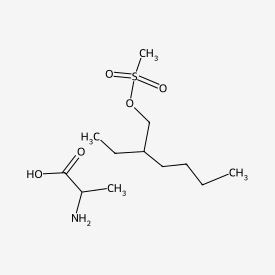 CC(N)C(=O)O.CCCCC(CC)COS(C)(=O)=O